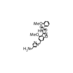 COc1ccccc1S(=O)(=O)Nc1noc2cc(Cn3cc(CN)cn3)cc(OC)c12